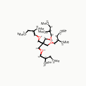 COCC(COCC(COCC(COC)OC)(COCC(COC)OC)COCC(COC)OC)OC